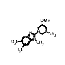 CO[C@@H]1C[C@@H](N)CN(c2nc3cc([N+](=O)[O-])c(C)cc3n2C)C1